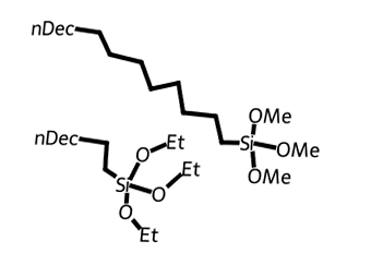 CCCCCCCCCCCCCCCCCC[Si](OC)(OC)OC.CCCCCCCCCCCC[Si](OCC)(OCC)OCC